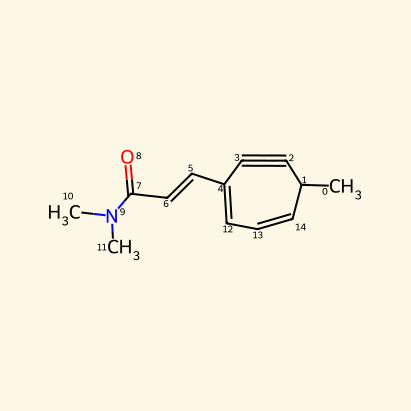 CC1C#CC(/C=C/C(=O)N(C)C)=CC=C1